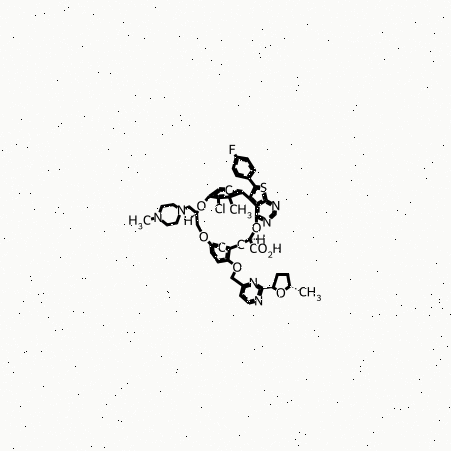 Cc1c2ccc(c1Cl)O[C@H](CN1CCN(C)CC1)COc1ccc(OCc3ccnc([C@H]4CC[C@H](C)O4)n3)c(c1)C[C@H](C(=O)O)Oc1ncnc3sc(-c4ccc(F)cc4)c-2c13